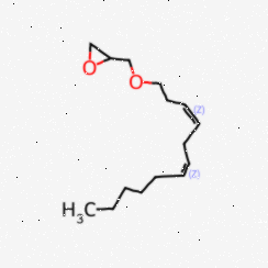 CCCCC/C=C\C/C=C\CCOCC1CO1